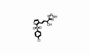 O=S(=O)(c1ccc(Cl)cc1)c1sccc1C=CC(O)c1nn[nH]n1